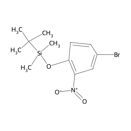 CC(C)(C)[Si](C)(C)Oc1ccc(Br)cc1[N+](=O)[O-]